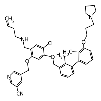 C=CCCNCc1cc(Cl)c(OCc2cccc(-c3cccc(OCCCN4CCCC4)c3C)c2C)cc1OCc1cncc(C#N)c1